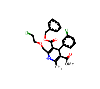 COC(=O)C1=C(C)NC(COCCCl)=C(C(=O)OCc2ccccc2)C1c1cccc(Cl)c1